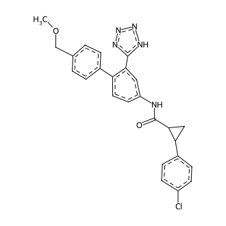 COCc1ccc(-c2ccc(NC(=O)C3CC3c3ccc(Cl)cc3)cc2-c2nnn[nH]2)cc1